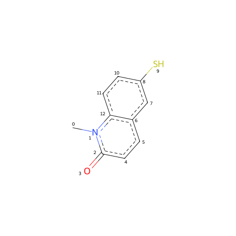 Cn1c(=O)ccc2cc(S)ccc21